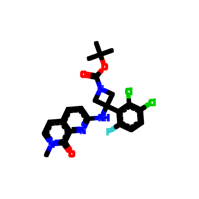 Cn1ccc2ccc(NC3(c4c(F)ccc(Cl)c4Cl)CN(C(=O)OC(C)(C)C)C3)nc2c1=O